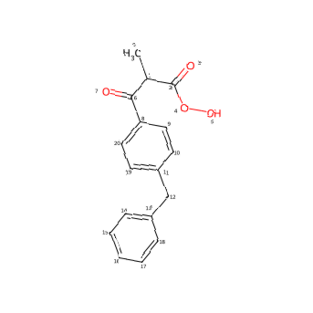 CC(C(=O)OO)C(=O)c1ccc(Cc2ccccc2)cc1